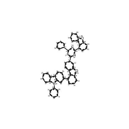 c1ccc(-c2nc(-c3ccc4c(c3)oc3cccc(-c5ccc6c7ccccc7n(-c7ccccc7)c6c5)c34)nc(-c3cccc4oc5ccccc5c34)n2)cc1